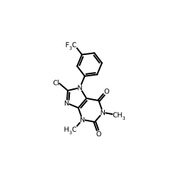 Cn1c(=O)c2c(nc(Cl)n2-c2cccc(C(F)(F)F)c2)n(C)c1=O